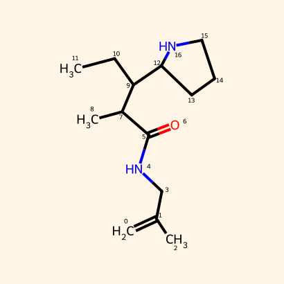 C=C(C)CNC(=O)C(C)C(CC)C1CCCN1